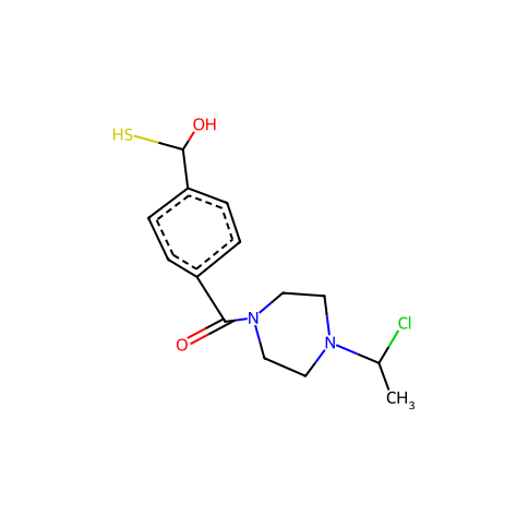 CC(Cl)N1CCN(C(=O)c2ccc(C(O)S)cc2)CC1